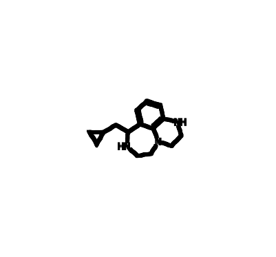 c1cc2c3c(c1)C(CC1CC1)NCCN3CCN2